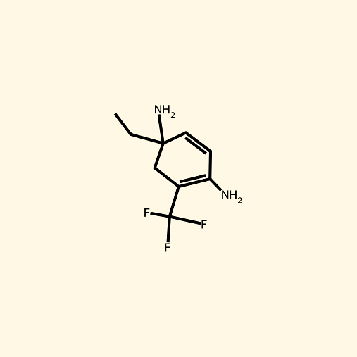 CCC1(N)C=CC(N)=C(C(F)(F)F)C1